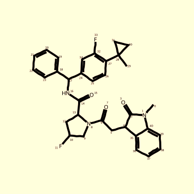 CN1C(=O)C(CC(=O)N2CC(F)CC2C(=O)NC(c2ccccc2)c2ccc(C3(C)CC3)c(F)c2)c2ccccc21